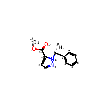 C[C@H](c1ccccc1)n1nccc1C(=O)OC(C)(C)C